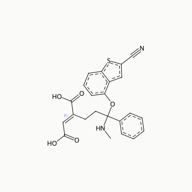 CNC(CC/C(=C\C(=O)O)C(=O)O)(Oc1cccc2sc(C#N)cc12)c1ccccc1